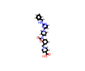 O=C(O)C1CCN(CC2CCCC3C2OC(=O)N3C2CCN(c3ccnc(NCc4ccccc4)n3)CC2)CC1